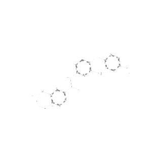 CCc1ccc(Oc2ccc(CC(C)c3ccc4c(c3)COOC4)cc2N)cc1